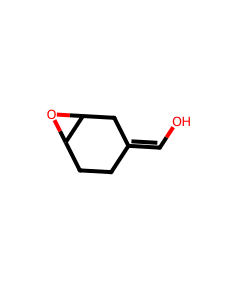 O/C=C1/CCC2OC2C1